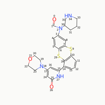 O=CN(c1ccc2c(c1)Sc1cccc(-c3cc(N4CCOCC4)cc(=O)[nH]3)c1S2)C1CCCNC1